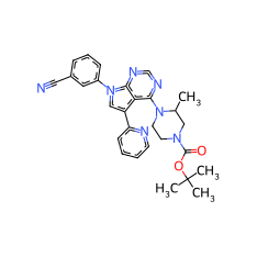 CC1CN(C(=O)OC(C)(C)C)CCN1c1ncnc2c1c(-c1ccccn1)cn2-c1cccc(C#N)c1